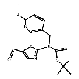 COc1ccc(CN(C(=O)OC(C)(C)C)c2ncc(C=O)s2)cn1